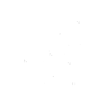 Nc1csc2c(O)nc(-c3ccncc3)nc12